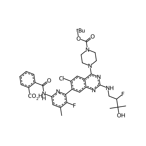 Cc1cc(NC(=O)c2ccccc2C(=O)O)nc(-c2cc3nc(NCC(F)C(C)(C)O)nc(N4CCN(C(=O)OC(C)(C)C)CC4)c3cc2Cl)c1F